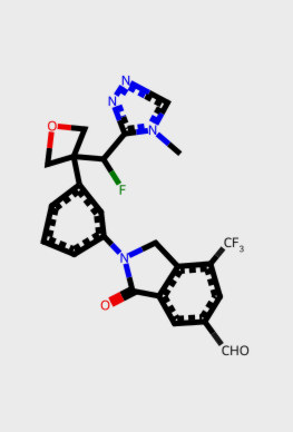 Cn1cnnc1C(F)C1(c2cccc(N3Cc4c(cc(C=O)cc4C(F)(F)F)C3=O)c2)COC1